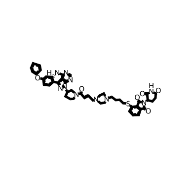 Nc1ncnc2c1c(-c1ccc(Oc3ccccc3)cc1)nn2C1CCCN(C(=O)/C=C/CN2CCN(CCCCSc3cccc4c3C(=O)N(C3CCC(=O)NC3=O)C4=O)CC2)C1